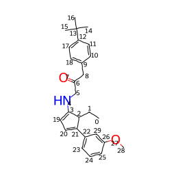 CCC1C(NCC(=O)Cc2ccc(C(C)(C)C)cc2)=CC=C1c1cccc(OC)c1